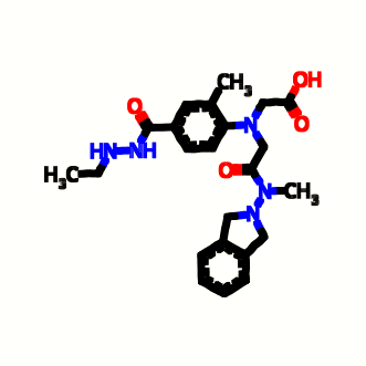 CCNNC(=O)c1ccc(N(CC(=O)O)CC(=O)N(C)N2Cc3ccccc3C2)c(C)c1